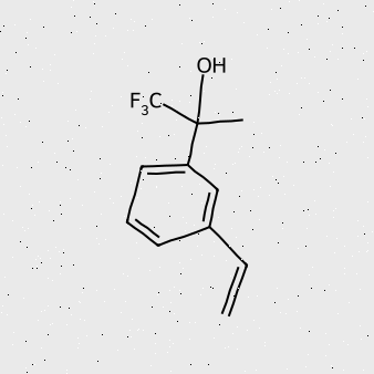 C=Cc1cccc(C(C)(O)C(F)(F)F)c1